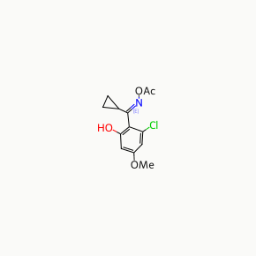 COc1cc(O)c(/C(=N/OC(C)=O)C2CC2)c(Cl)c1